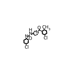 Cc1ccc(Cl)cc1C(=O)N1CC[C@@H](Nc2nc3ccc(Cl)cc3o2)C1